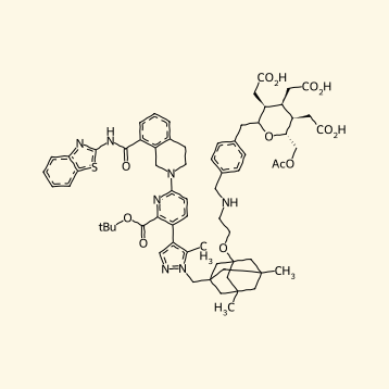 CC(=O)OC[C@@H]1OC(Cc2ccc(CNCCOC34CC5(C)CC(C)(CC(Cn6ncc(-c7ccc(N8CCc9cccc(C(=O)Nc%10nc%11ccccc%11s%10)c9C8)nc7C(=O)OC(C)(C)C)c6C)(C5)C3)C4)cc2)[C@@H](CC(=O)O)[C@@H](CC(=O)O)[C@H]1CC(=O)O